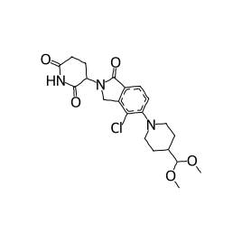 COC(OC)C1CCN(c2ccc3c(c2Cl)CN(C2CCC(=O)NC2=O)C3=O)CC1